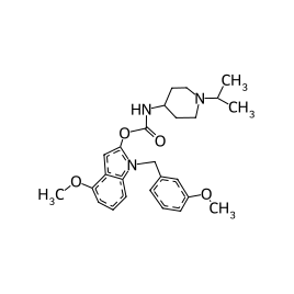 COc1cccc(Cn2c(OC(=O)NC3CCN(C(C)C)CC3)cc3c(OC)cccc32)c1